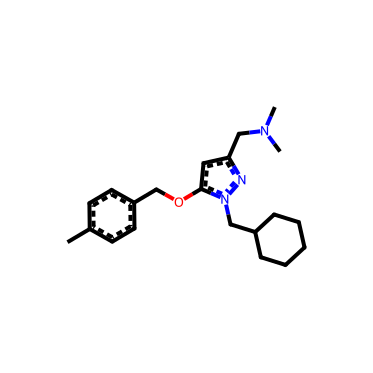 Cc1ccc(COc2cc(CN(C)C)nn2CC2CCCCC2)cc1